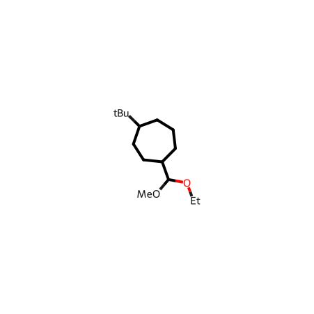 CCOC(OC)C1CCCC(C(C)(C)C)CC1